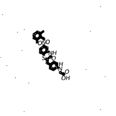 Cc1cccc(C)c1CS(=O)(=O)c1ccc2c(c1)NC(=O)/C(=C\c1ccc(NCC(=O)O)cc1)S2